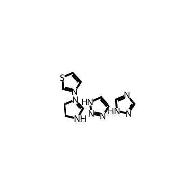 C1=NCCN1.c1c[nH]nn1.c1cscn1.c1nc[nH]n1